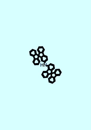 c1ccc2c(c1)-c1ccccc1C21c2ccccc2-c2ccc(Nc3cccc4c3-c3ccccc3C43c4ccccc4-c4ccccc43)cc21